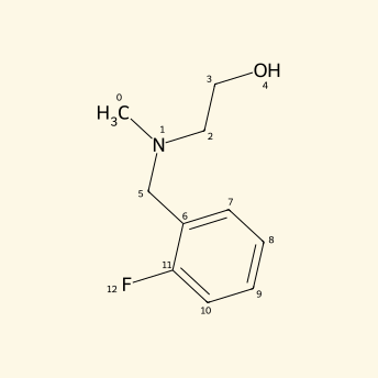 CN(CCO)Cc1ccccc1F